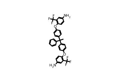 CC(c1ccccc1)(c1ccc(Oc2ccc(N)cc2C(F)(F)F)cc1)c1ccc(Oc2ccc(N)cc2C(F)(F)F)cc1